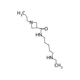 CCCN1CC(C(=O)NCCCCCNCC)C1